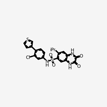 CC(C)c1cc2[nH]c(=O)c(=O)[nH]c2cc1S(=O)(=O)Nc1ccc(-c2ccsc2)c(Cl)c1